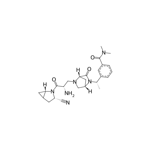 C[C@@H](c1cccc(C(=O)N(C)C)c1)N1C(=O)[C@@H]2C[C@H]1CN2C[C@H](N)C(=O)N1[C@H](C#N)CC2C[C@@H]21